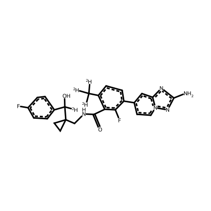 [2H]C([2H])([2H])c1ccc(-c2ccn3nc(N)nc3c2)c(F)c1C(=O)NCC1(C([2H])(O)c2ccc(F)cc2)CC1